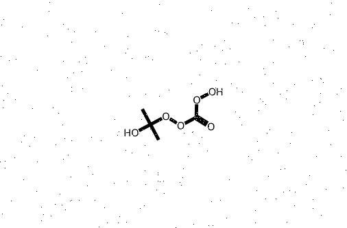 CC(C)(O)OOC(=O)OO